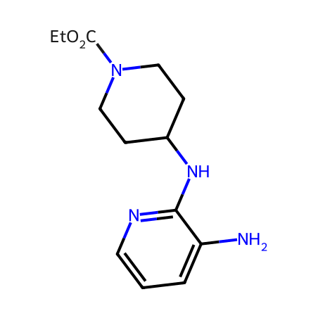 CCOC(=O)N1CCC(Nc2ncccc2N)CC1